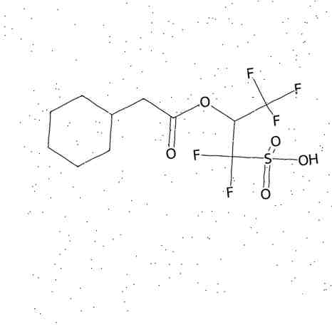 O=C(CC1CCCCC1)OC(C(F)(F)F)C(F)(F)S(=O)(=O)O